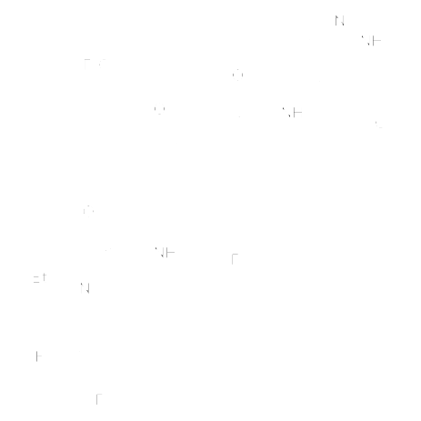 CCN(CC(F)F)C(=O)Nc1cc(OC(C)C(F)(F)F)c(C(=O)Nc2c(C)n[nH]c2Cl)cc1F